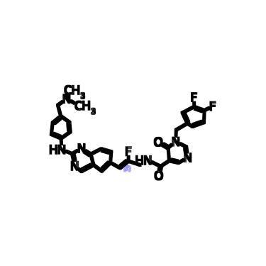 CN(C)Cc1ccc(Nc2ncc3cc(/C=C(\F)CNC(=O)c4cncn(Cc5ccc(F)c(F)c5)c4=O)ccc3n2)cc1